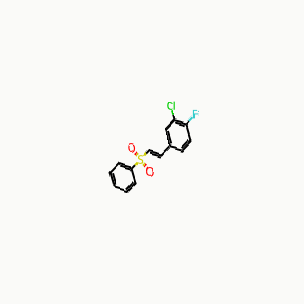 O=S(=O)(C=Cc1ccc(F)c(Cl)c1)c1ccccc1